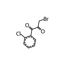 O=C(CBr)C(=O)c1ccccc1Cl